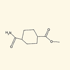 COC(=O)C1CCC(C(N)=O)CC1